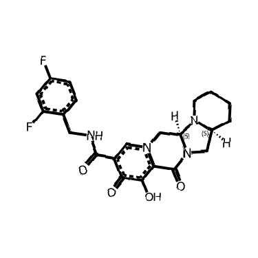 O=C(NCc1ccc(F)cc1F)c1cn2c(c(O)c1=O)C(=O)N1C[C@@H]3CCCCN3[C@@H]1C2